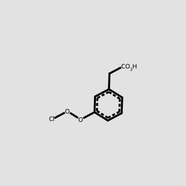 O=C(O)Cc1cccc(OOCl)c1